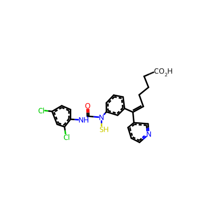 O=C(O)CCCC=C(c1cccnc1)c1cccc(N(S)C(=O)Nc2ccc(Cl)cc2Cl)c1